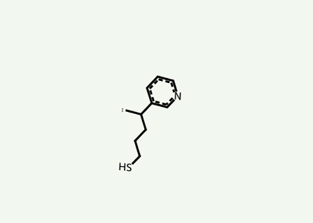 [CH]C(CCCS)c1cccnc1